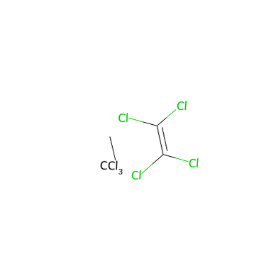 CC(Cl)(Cl)Cl.ClC(Cl)=C(Cl)Cl